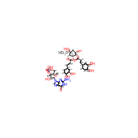 Nc1nc2c(ncn2[C@@H]2O[C@@H]3COP(=O)(O)O[C@H]3[C@H]2O)c(=O)[nH]1.O=C(/C=C/c1ccc(O)c(O)c1)O[C@@H]1[C@H](O)C[C@@](O)(C(=O)O)C[C@H]1OC(=O)/C=C/c1ccc(O)c(O)c1